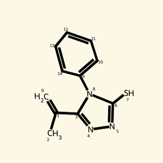 C=C(C)c1nnc(S)n1-c1ccccc1